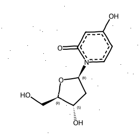 O=c1cc(O)ccn1[C@H]1C[C@H](O)[C@@H](CO)O1